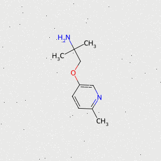 Cc1ccc(OCC(C)(C)N)cn1